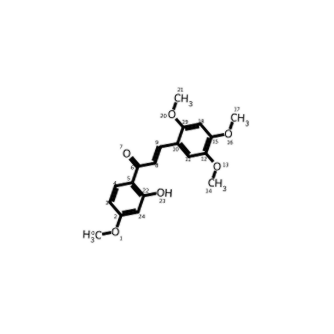 COc1ccc(C(=O)C=Cc2cc(OC)c(OC)cc2OC)c(O)c1